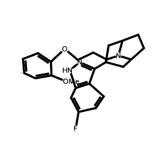 COc1c[c]ccc1OCCCN1C2CCC1CC(c1n[nH]c3cc(F)ccc13)C2